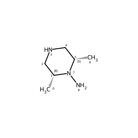 C[C@@H]1CNC[C@H](C)N1N